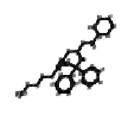 CC(C)(C)[Si](OC(CC#CCCCCC(F)(F)F)COC1CCCCO1)(c1ccccc1)c1ccccc1